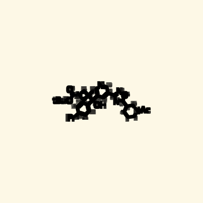 CC(=O)N1CCCC(c2nc(-c3cncc(C(O)(c4ccc(C(C)C)cc4)C4(C)CN(C(=O)OC(C)(C)C)C4)c3)no2)C1